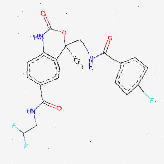 O=C1Nc2ccc(C(=O)NCC(F)F)cc2C(CNC(=O)c2ccc(F)cc2)(C(F)(F)F)O1